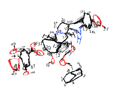 C1=C2CCC(C1)C2.COC(=O)[C@H]1[C@H]2C[C@@H]3c4[nH]c5cc(OC)ccc5c4CCN3C[C@H]2C[C@@H](OC(=O)c2cc(OC)c(OC)c(OC)c2)[C@@H]1OC